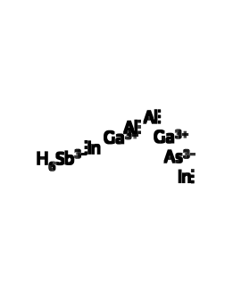 [Al].[Al].[As-3].[Ga+3].[Ga+3].[In].[In].[SbH6-3]